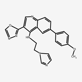 COc1ccc(-c2ccc3ncc(-c4nnco4)c(NCCn4ccnc4)c3c2)cc1